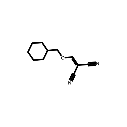 N#CC(C#N)=COCC1CCCCC1